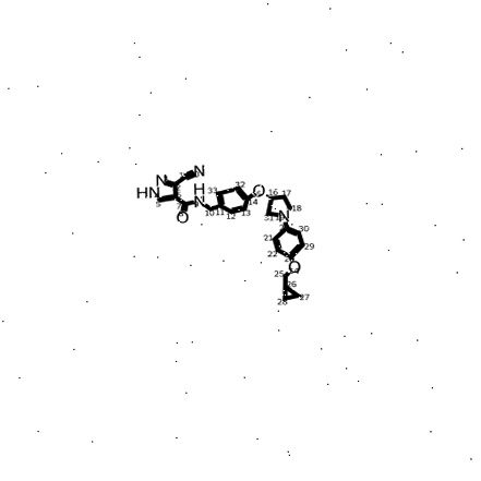 N#Cc1n[nH]cc1C(=O)NCc1ccc(O[C@@H]2CCN(c3ccc(OCC4CC4)cc3)C2)cc1